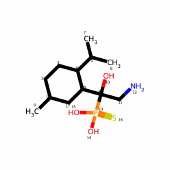 CC1CCC(C(C)C)C(C(O)(CN)P(O)(O)=S)C1